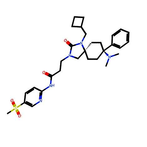 CN(C)[C@]1(c2ccccc2)CC[C@]2(CC1)CN(CCC(=O)Nc1ccc(S(C)(=O)=O)cn1)C(=O)N2CC1CCC1